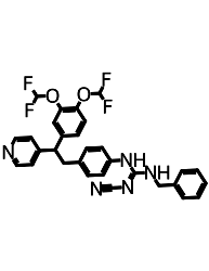 N#CN=C(NCc1ccccc1)Nc1ccc(CC(c2ccncc2)c2ccc(OC(F)F)c(OC(F)F)c2)cc1